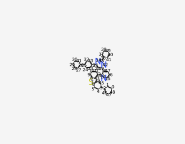 C1=CC(C2C=Cc3sc4cccc(-c5ncccc5-c5cc(-c6ccc(-c7ccccc7)cc6)nc(-c6ccccc6)n5)c4c3C2)=CCC1